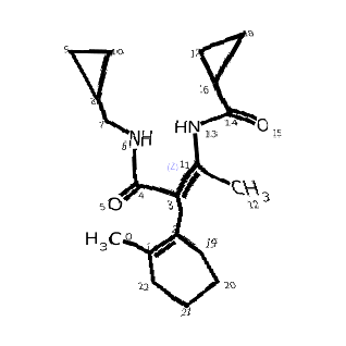 CC1=C(/C(C(=O)NCC2CC2)=C(\C)NC(=O)C2CC2)CCCC1